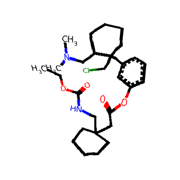 CCOC(=O)NCC1(CC(=O)Oc2cccc(C3(CCl)CCCCC3CN(C)C)c2)CCCCC1